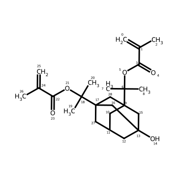 C=C(C)C(=O)OC(C)(C)C12CC3CC(O)(C1)CC(C(C)(C)OC(=O)C(=C)C)(C3)C2